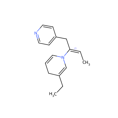 C/C=C(/Cc1ccncc1)N1C=CCC(CC)=C1